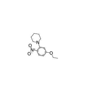 CCOc1ccc([N+](=O)[O-])c(N2CCCCC2)c1